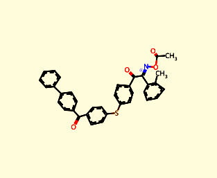 CC(=O)O/N=C(/C(=O)c1ccc(Sc2ccc(C(=O)c3ccc(-c4ccccc4)cc3)cc2)cc1)c1ccccc1C